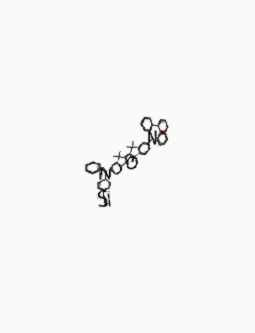 CC1(C)c2cc(N(c3ccccc3)c3ccc([Si](C)(C)C)cc3)ccc2-c2oc3c(c21)C(C)(C)c1cc(N(c2ccccc2)c2ccccc2-c2ccccc2)ccc1-3